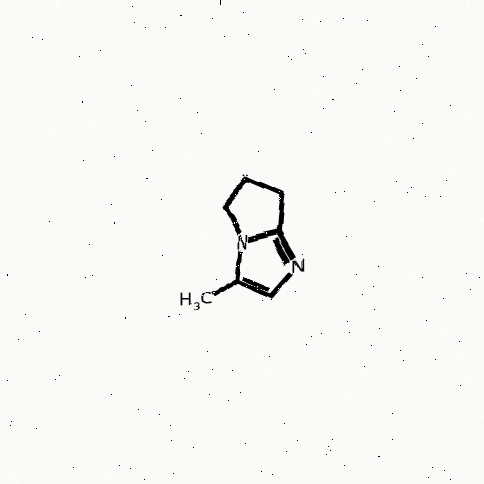 Cc1[c]nc2n1C[C]C2